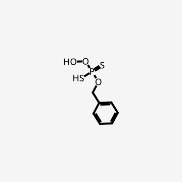 OOP(=S)(S)OCc1ccccc1